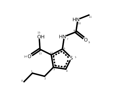 CCCc1csc(NC(=O)NC)c1C(=O)O